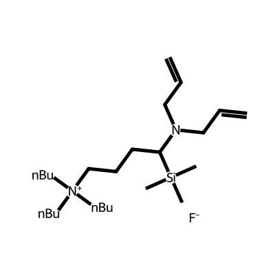 C=CCN(CC=C)C(CCC[N+](CCCC)(CCCC)CCCC)[Si](C)(C)C.[F-]